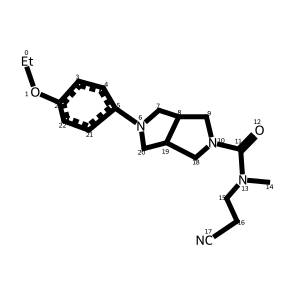 CCOc1ccc(N2CC3CN(C(=O)N(C)CCC#N)CC3C2)cc1